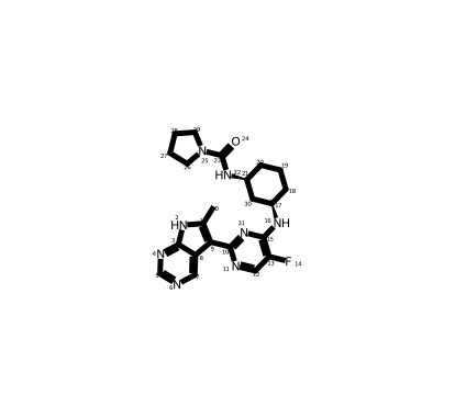 Cc1[nH]c2ncncc2c1-c1ncc(F)c(N[C@@H]2CCC[C@H](NC(=O)N3CCCC3)C2)n1